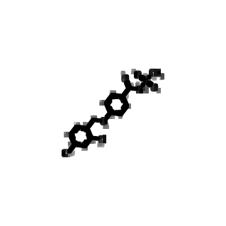 CS(=O)(=O)NC(=O)c1ccc(OCc2ccc(Cl)cc2Cl)cc1